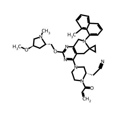 C=CC(=O)N1CCN(c2nc(OC[C@@H]3C[C@@H](OC)CN3C)nc3c2CC2(CC2)N(c2cccc4cccc(C)c24)C3)C[C@@H]1CC#N